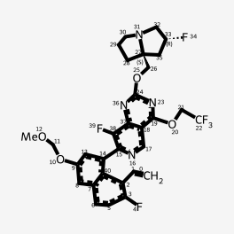 C=Cc1c(F)ccc2cc(OCOC)cc(-c3ncc4c(OCC(F)(F)F)nc(OC[C@@]56CCCN5C[C@H](F)C6)nc4c3F)c12